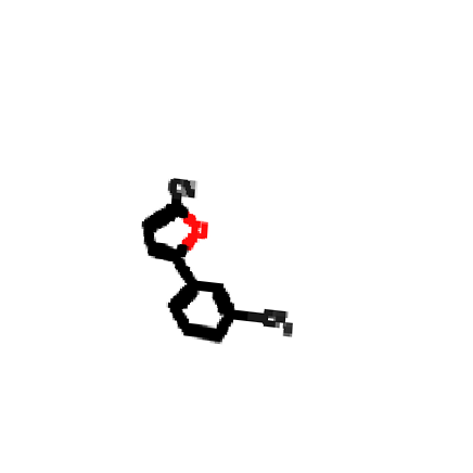 N#Cc1ccc(-c2cccc(C(F)(F)F)c2)o1